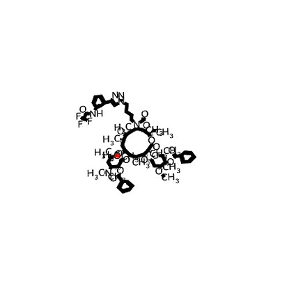 CC[C@H]1OC(=O)[C@H](C)[C@@H](O[C@H]2C[C@@](C)(OC)[C@@H](OC(=O)c3ccccc3)[C@H](C)O2)[C@H](C)[C@@H](O[C@@H]2O[C@H](C)CC(N(C)C)[C@H]2OC(=O)c2ccccc2)[C@@](C)(OC)C[C@@H](C)C(=O)[C@H](C)C2N(CCCCn3cc(-c4cccc(NC(=O)C(F)(F)F)c4)nn3)C(=O)O[C@@]21C